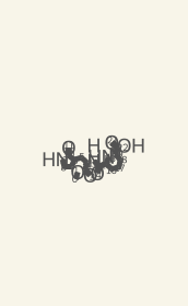 COC(=O)C(CC1CCNC1=O)NC(=O)C1CCCN(C(=O)O)N1